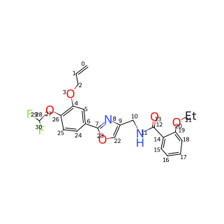 C=CCOc1cc(-c2nc(CNC(=O)c3ccccc3OCC)co2)ccc1OC(F)F